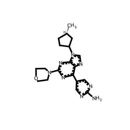 C[C@H]1CCC(n2cnc3c(-c4cnc(N)nc4)nc(N4CCOCC4)nc32)C1